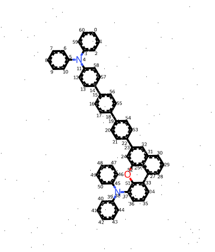 c1ccc(N(c2ccccc2)c2ccc(-c3ccc(-c4ccc(-c5cc6c7c(cccc7c5)-c5cccc(N(c7ccccc7)c7ccccc7)c5O6)cc4)cc3)cc2)cc1